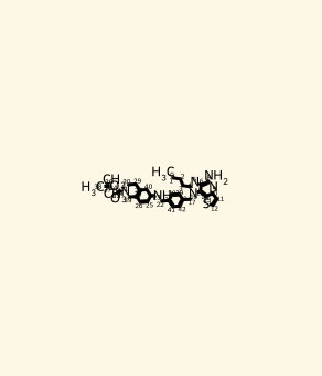 CCCCc1nc2c(N)nc3ccsc3c2n1Cc1ccc(CNC2C=CC3=C(CCN(C(=O)OC(C)(C)C)C3)C2)cc1